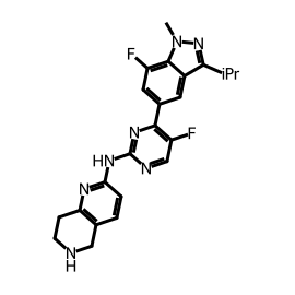 CC(C)c1nn(C)c2c(F)cc(-c3nc(Nc4ccc5c(n4)CCNC5)ncc3F)cc12